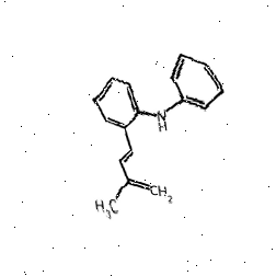 C=C(C)/C=C/c1ccccc1Nc1ccccc1